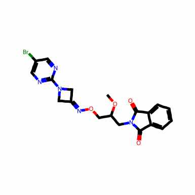 COC(CON=C1CN(c2ncc(Br)cn2)C1)CN1C(=O)c2ccccc2C1=O